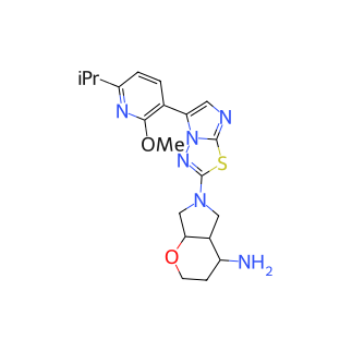 COc1nc(C(C)C)ccc1-c1cnc2sc(N3CC4OCCC(N)C4C3)nn12